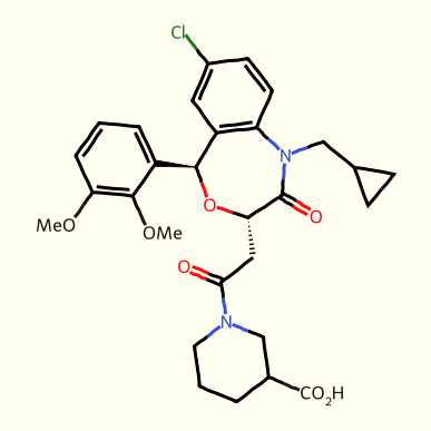 COc1cccc([C@@H]2O[C@@H](CC(=O)N3CCCC(C(=O)O)C3)C(=O)N(CC3CC3)c3ccc(Cl)cc32)c1OC